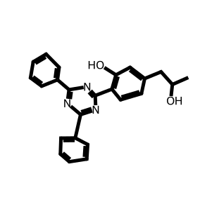 CC(O)Cc1ccc(-c2nc(-c3ccccc3)nc(-c3ccccc3)n2)c(O)c1